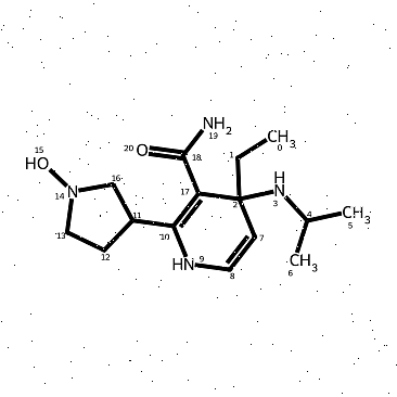 CCC1(NC(C)C)C=CNC(C2CCN(O)C2)=C1C(N)=O